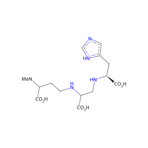 CNC(CCNC(CN[C@@H](Cc1cnc[nH]1)C(=O)O)C(=O)O)C(=O)O